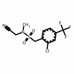 CN(CC#N)S(=O)(=O)Cc1ccc(C(F)(F)F)cc1Cl